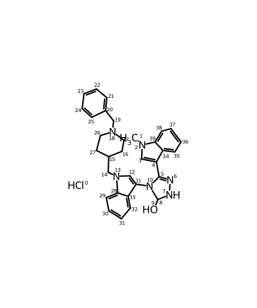 Cl.Cn1cc(C2=NNC(O)N2c2cn(CC3CCN(Cc4ccccc4)CC3)c3ccccc23)c2ccccc21